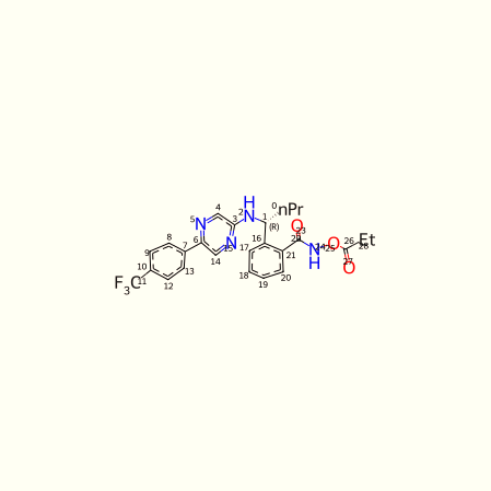 CCC[C@@H](Nc1cnc(-c2ccc(C(F)(F)F)cc2)cn1)c1ccccc1C(=O)NOC(=O)CC